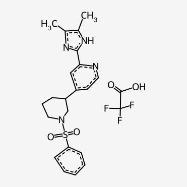 Cc1nc(-c2cc(C3CCCN(S(=O)(=O)c4ccccc4)C3)ccn2)[nH]c1C.O=C(O)C(F)(F)F